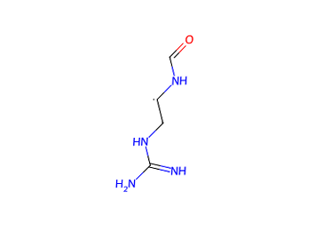 N=C(N)NC[CH]NC=O